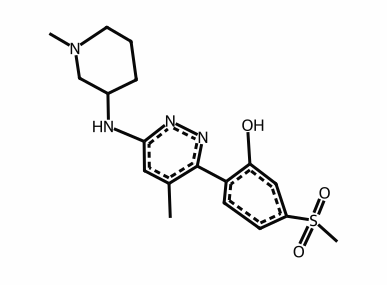 Cc1cc(NC2CCCN(C)C2)nnc1-c1ccc(S(C)(=O)=O)cc1O